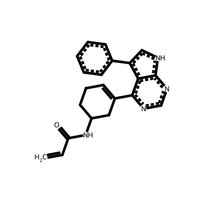 C=CC(=O)NC1CCC=C(c2ncnc3[nH]cc(-c4ccccc4)c23)C1